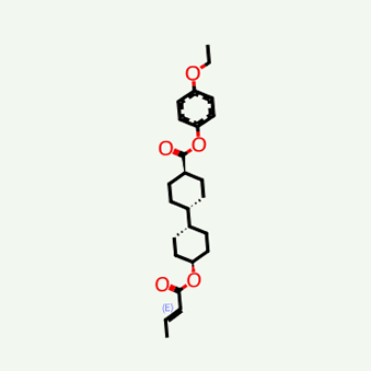 C/C=C/C(=O)O[C@H]1CC[C@H]([C@H]2CC[C@H](C(=O)Oc3ccc(OCC)cc3)CC2)CC1